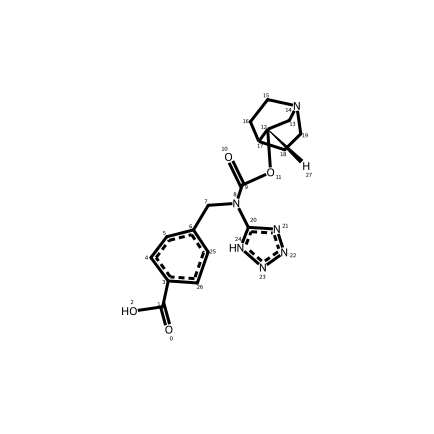 O=C(O)c1ccc(CN(C(=O)O[C@H]2CN3CCC2CC3)c2nnn[nH]2)cc1